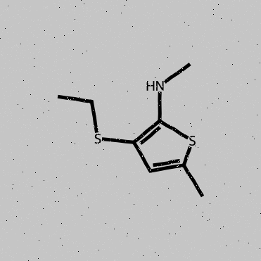 CCSc1cc(C)sc1NC